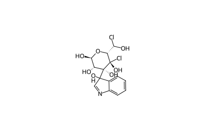 OC(Cl)[C@H]1O[C@H](O)[C@@H](O)[C@](O)(C2(O)C=Nc3ccccc32)[C@@]1(O)Cl